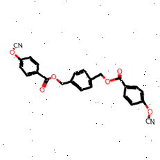 N#COc1ccc(C(=O)OCc2ccc(COC(=O)c3ccc(OC#N)cc3)cc2)cc1